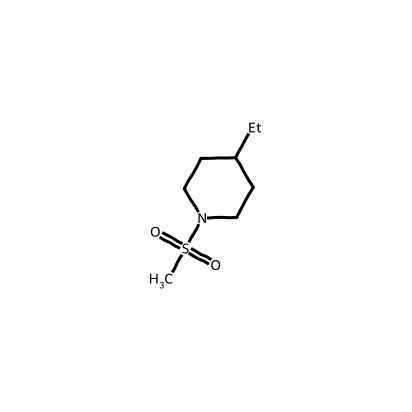 [CH2]CC1CCN(S(C)(=O)=O)CC1